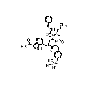 C=CCN1CC(=O)N2[C@@H](Cc3ccc(O[PH](O)(O)O)cc3)C(=O)N(Cc3cccc4c(C(C)=O)c[nH]c34)C[C@@H]2N1C(=O)NCc1ccccc1